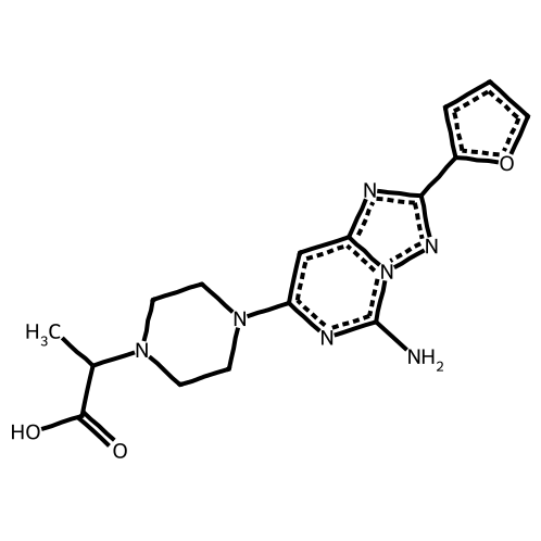 CC(C(=O)O)N1CCN(c2cc3nc(-c4ccco4)nn3c(N)n2)CC1